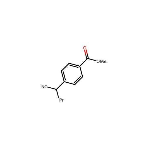 COC(=O)c1ccc(C(C#N)C(C)C)cc1